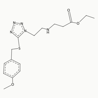 CCOC(=O)CCNCCn1nnnc1SCc1ccc(OC)cc1